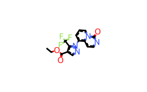 CCOC(=O)c1cnn(-c2cccn3c(=O)nccc23)c1C(F)(F)F